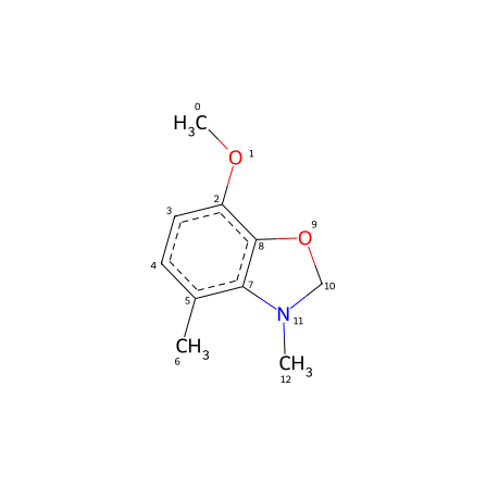 COc1ccc(C)c2c1OCN2C